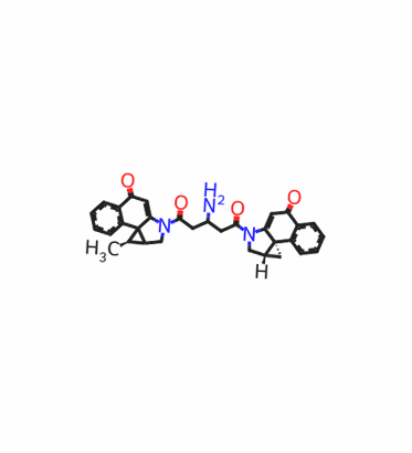 C[C@@H]1C2CN(C(=O)CC(N)CC(=O)N3C[C@H]4C[C@@]45C3=CC(=O)c3ccccc35)C3=CC(=O)c4ccccc4C321